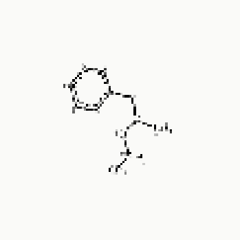 CC(Cc1ccccc1)O[SiH2]Cl